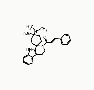 CCCCC1(N(C)C)CCC2(CC1)c1[nH]c3ccccc3c1CCN2C(=O)C=Cc1ccccc1